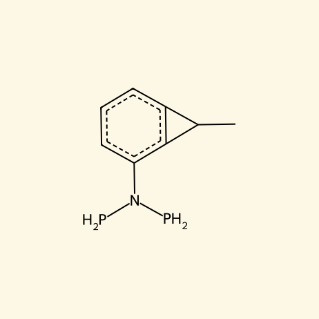 CC1c2cccc(N(P)P)c21